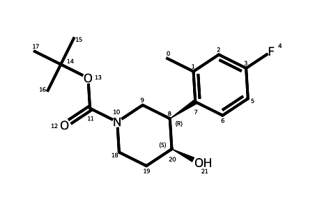 Cc1cc(F)ccc1[C@@H]1CN(C(=O)OC(C)(C)C)CC[C@@H]1O